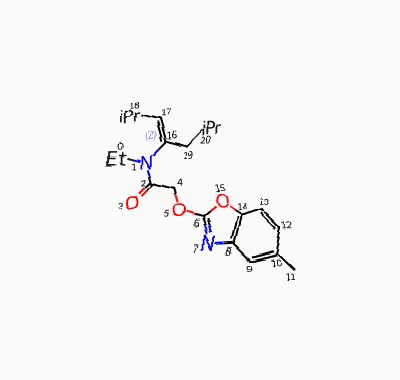 CCN(C(=O)COc1nc2cc(C)ccc2o1)/C(=C\C(C)C)CC(C)C